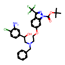 CC(C)(C)OC(=O)n1nc(C(F)(F)F)c2ccc(OCCN(Cc3ccccc3)CC(O)c3ccc(Cl)c(N)c3)cc21